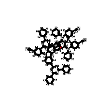 N#Cc1ccc2c(c1)B1c3cc(C#N)ccc3N(c3ccccc3)c3cc(-c4ccc5c(c4)c4cc(-c6nc(-c7ccccc7)nc(-c7ccccc7)n6)ccc4n5-c4ccc(C#N)cc4-c4nc(-c5ccccc5)nc(-c5ccccc5)n4)cc(c31)N2c1ccccc1